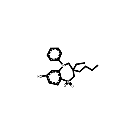 CCCCC1(CC)CN(c2ccccc2)c2cc(O)ccc2S(=O)(=O)C1